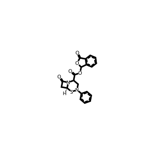 O=C1OC(OC(=O)C2CN(c3ccccc3)S[C@H]3CC(=O)N23)c2ccccc21